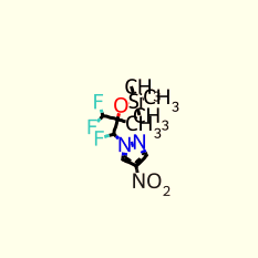 CC(O[Si](C)(C)C)(C(F)F)C(F)n1cc([N+](=O)[O-])cn1